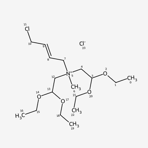 CCOC(C[N+](C)(CC=CCCl)CC(OCC)OCC)OCC.[Cl-]